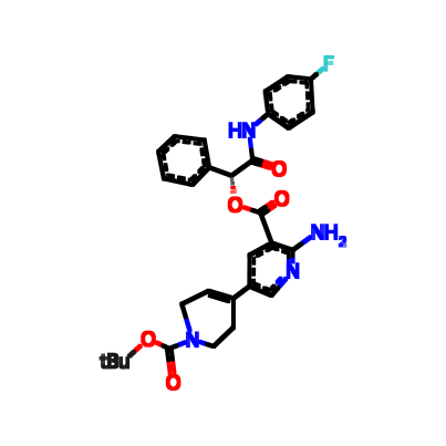 CC(C)(C)OC(=O)N1CC=C(c2cnc(N)c(C(=O)O[C@@H](C(=O)Nc3ccc(F)cc3)c3ccccc3)c2)CC1